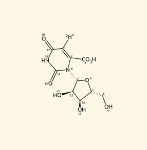 [2H]c1c(C(=O)O)n([C@@H]2O[C@H](CO)[C@@H](O)[C@H]2O)c(=O)[nH]c1=O